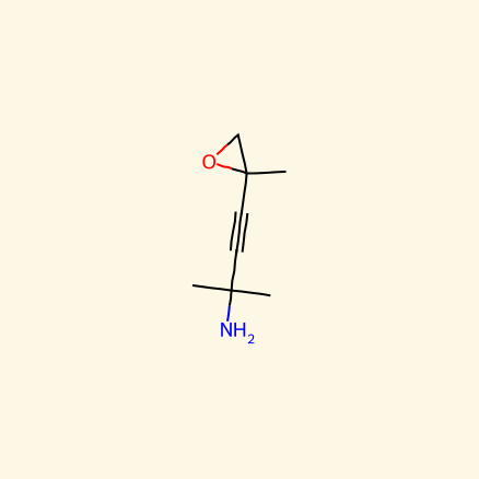 CC(C)(N)C#CC1(C)CO1